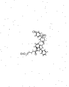 CCOC(=O)CCCC(=O)NCC(CCCN1CCC(O)(c2ccc(Cl)cc2)CC1)(c1ccccc1)c1ccccc1